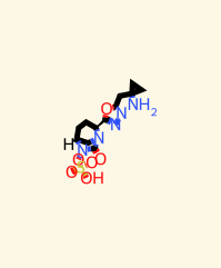 NC1(Cc2nnc([C@@H]3CC[C@@H]4CN3C(=O)N4OS(=O)(=O)O)o2)CC1